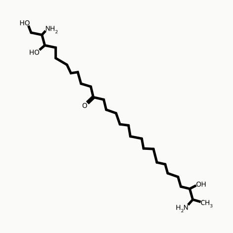 CC(N)C(O)CCCCCCCCCCCCCCC(=O)CCCCCCCC(O)C(N)CO